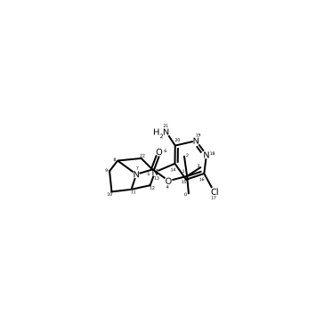 CC(C)(C)OC(=O)N1C2CCC1CN(c1cc(Cl)nnc1N)C2